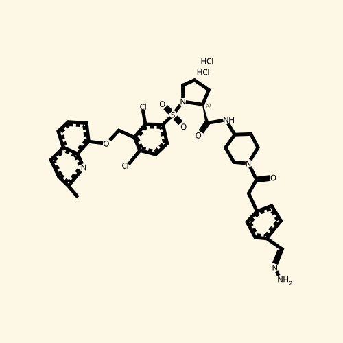 Cc1ccc2cccc(OCc3c(Cl)ccc(S(=O)(=O)N4CCC[C@H]4C(=O)NC4CCN(C(=O)Cc5ccc(C=NN)cc5)CC4)c3Cl)c2n1.Cl.Cl